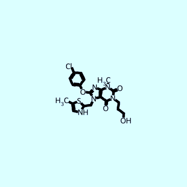 CC1=CNC(Cn2c(Oc3ccc(Cl)cc3)nc3c2c(=O)n(CCCO)c(=O)n3C)S1